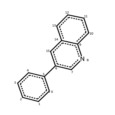 [c]1ccccc1-c1cnc2ccccc2c1